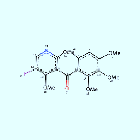 COc1cc(C)c(C(=O)c2c(OC)ncc(I)c2OC)c(OC)c1OC